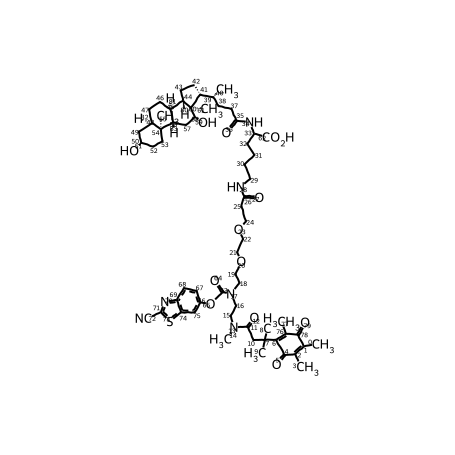 CC1=C(C)C(=O)C(C(C)(C)CC(=O)N(C)CCN(CCOCCOCCC(=O)NCCCCC(NC(=O)CC[C@@H](C)[C@H]2CC[C@H]3[C@@H]4CC[C@@H]5C[C@H](O)CC[C@]5(C)[C@H]4C[C@H](O)[C@]23C)C(=O)O)C(=O)Oc2ccc3nc(C#N)sc3c2)=C(C)C1=O